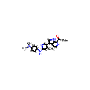 CNC(=O)c1nccc2c(-c3cnc(Nc4ccc(N(C)C)cc4)cc3C)c[nH]c12